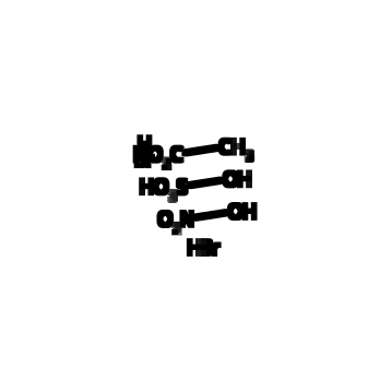 Br.Br.CC(=O)O.O=S(=O)(O)O.O=[N+]([O-])O